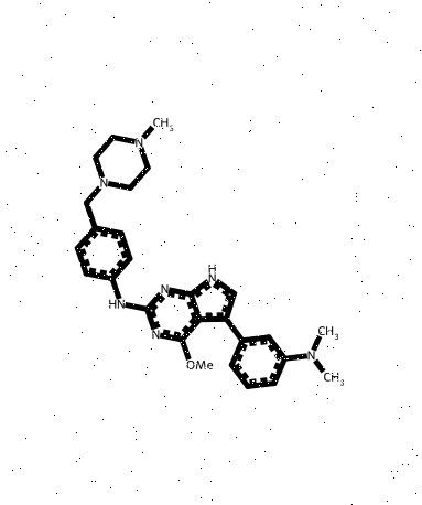 COc1nc(Nc2ccc(CN3CCN(C)CC3)cc2)nc2[nH]cc(-c3cccc(N(C)C)c3)c12